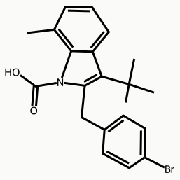 Cc1cccc2c(C(C)(C)C)c(Cc3ccc(Br)cc3)n(C(=O)O)c12